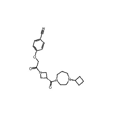 N#Cc1ccc(OCC(=O)N2CC(C(=O)N3CCCN(C4CCC4)CC3)C2)cc1